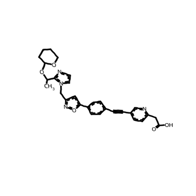 CC(OC1CCCCO1)c1nccn1Cc1cc(-c2ccc(C#Cc3ccc(CC(=O)O)nc3)cc2)on1